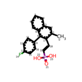 Cc1cc2ccccc2c(-c2ccc(F)cc2)c1C=CP(=O)(O)O